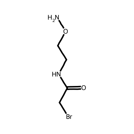 NOCCNC(=O)CBr